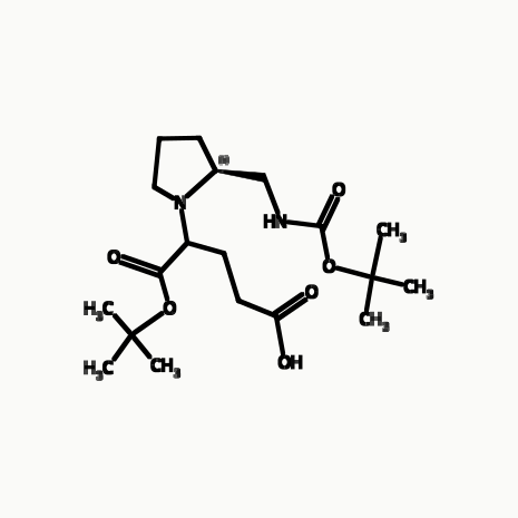 CC(C)(C)OC(=O)NC[C@@H]1CCCN1C(CCC(=O)O)C(=O)OC(C)(C)C